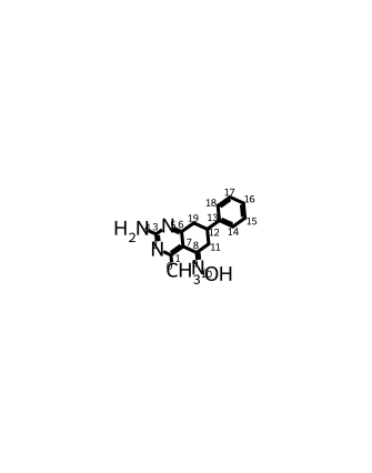 Cc1nc(N)nc2c1C(=NO)CC(c1ccccc1)C2